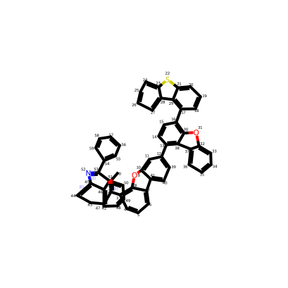 CC1=C(\c2cccc3c2oc2cc(-c4ccc(-c5cccc6sc7ccccc7c56)c5oc6ccccc6c45)ccc23)CC/C=C(c2ccccc2)/N=C\1c1ccccc1